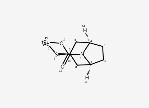 CC(=O)S[C@H]1C[C@H]2CC[C@@H](C1)N2C(=O)OC(C)(C)C